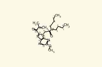 CCCCN(CCCC)C(=O)Cn1c(C(=O)C(C)C)nc2ncc(OC)nc21